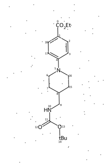 CCOC(=O)c1ccc(N2CCC(CNC(=O)OC(C)(C)C)CC2)cc1